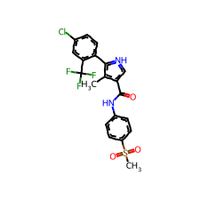 Cc1c(C(=O)Nc2ccc(S(C)(=O)=O)cc2)c[nH]c1-c1ccc(Cl)cc1C(F)(F)F